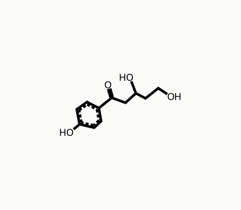 O=C(CC(O)CCO)c1ccc(O)cc1